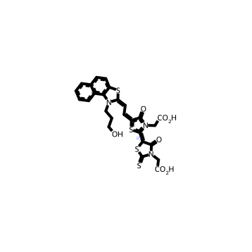 O=C(O)CN1C(=O)/C(=c2/sc(=CC=C3Sc4ccc5ccccc5c4N3CCCO)c(=O)n2CC(=O)O)SC1=S